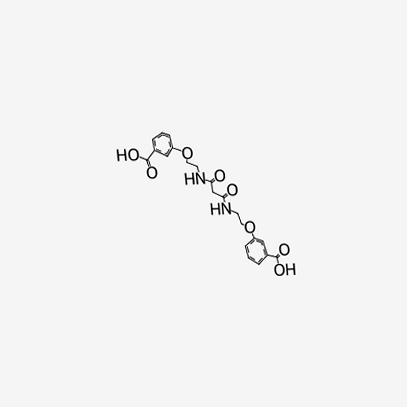 O=C(CC(=O)NCCOc1cccc(C(=O)O)c1)NCCOc1cccc(C(=O)O)c1